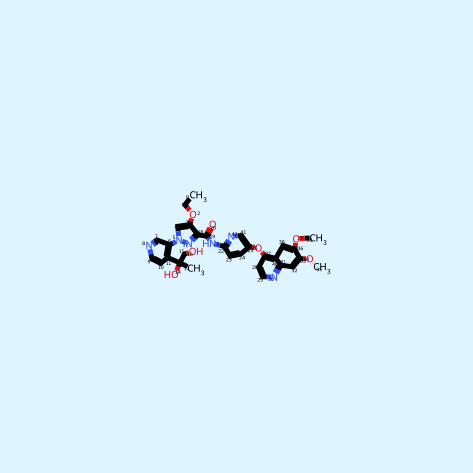 CCOc1cn(-c2cnccc2C(C)(O)CO)nc1C(=O)Nc1ccc(Oc2ccnc3cc(OC)c(OC)cc23)cn1